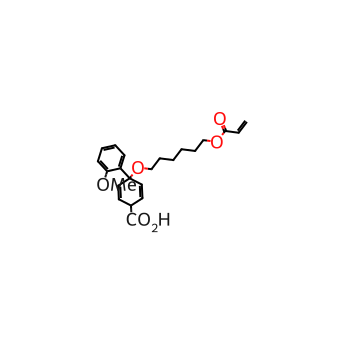 C=CC(=O)OCCCCCCOC1(c2ccccc2OC)C=CC(C(=O)O)C=C1